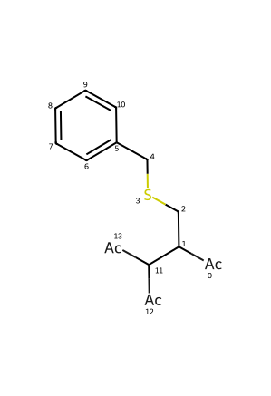 CC(=O)C(CSCc1ccccc1)C(C(C)=O)C(C)=O